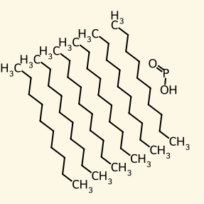 CCCCCCCCCC.CCCCCCCCCC.CCCCCCCCCC.CCCCCCCCCC.CCCCCCCCCC.CCCCCCCCCC.O=PO